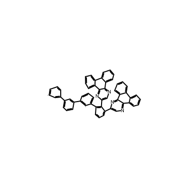 [c]1cccc(-c2cccc(-c3[c]c(-c4cccc(-c5cnc6c7ccccc7c7ccccc7c6n5)c4-c4cnc5c6ccccc6c6ccccc6c5n4)ccc3)c2)c1